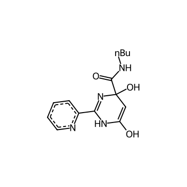 CCCCNC(=O)C1(O)C=C(O)NC(c2ccccn2)=N1